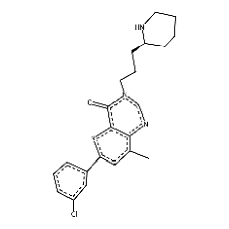 Cc1cc(-c2cccc(Cl)c2)nc2c(=O)n(CCC[C@@H]3CCCCN3)cnc12